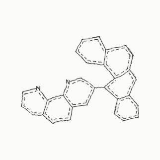 c1ccc2c(-c3cnc4c(ccc5cccnc54)c3)c3c(ccc4ccccc43)cc2c1